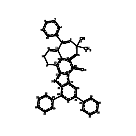 CC1(C#N)C=C(c2ccccc2)C2=CCCc3c2c(c(=O)n2c3nc3c(-c4ccccc4)cc(-c4ccccc4)cc32)=C1